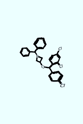 Clc1ccc(C(OC2CN(C(c3ccccc3)c3ccccc3)C2)c2ccc(Cl)cc2Cl)cc1